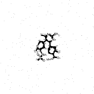 CNC(=O)c1ccc(-c2nc(N)nc(C)c2-c2cnc(Cl)c(NS(C)(=O)=O)c2)cc1Cl